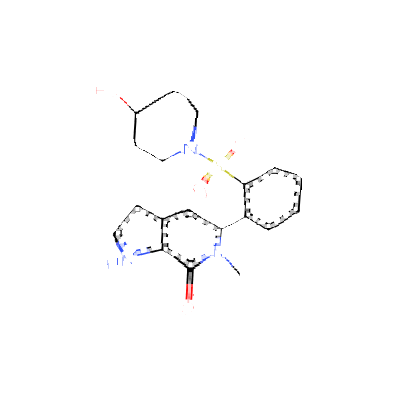 Cn1c(-c2ccccc2S(=O)(=O)N2CCC(O)CC2)cc2cc[nH]c2c1=O